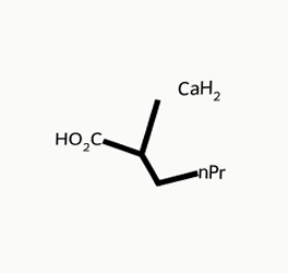 CCCCC(C)C(=O)O.[CaH2]